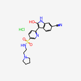 Cl.N#Cc1ccc2c(-c3ccc(S(=O)(=O)NCCN4CCCC4)cn3)c(O)[nH]c2c1